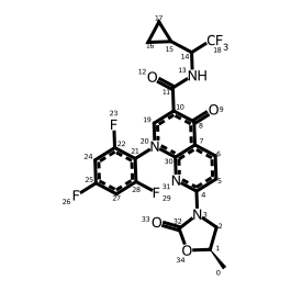 C[C@@H]1CN(c2ccc3c(=O)c(C(=O)NC(C4CC4)C(F)(F)F)cn(-c4c(F)cc(F)cc4F)c3n2)C(=O)O1